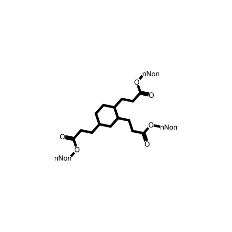 CCCCCCCCCOC(=O)CCC1CCC(CCC(=O)OCCCCCCCCC)C(CCC(=O)OCCCCCCCCC)C1